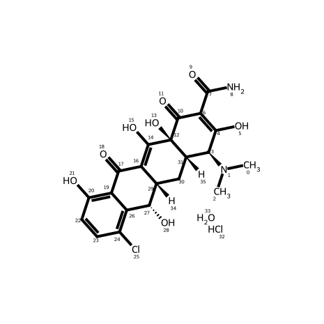 CN(C)[C@@H]1C(O)=C(C(N)=O)C(=O)[C@@]2(O)C(O)=C3C(=O)c4c(O)ccc(Cl)c4[C@@H](O)[C@H]3C[C@@H]12.Cl.O